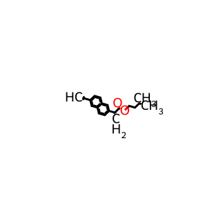 C#Cc1ccc2cc(C(=C)C(=O)OCCC(C)C)ccc2c1